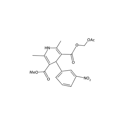 COC(=O)C1=C(C)NC(C)=C(C(=O)OCOC(C)=O)C1c1cccc([N+](=O)[O-])c1